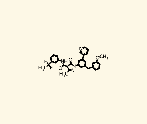 COc1cccc(Cc2cc(-c3cccnc3)cc(N3N=C(C)C(C(=O)Nc4cccc(C(C)(F)F)c4)C3=O)c2)c1